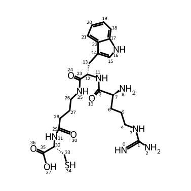 N=C(N)NCCC[C@H](N)C(=O)N[C@@H](Cc1c[nH]c2ccccc12)C(=O)NCCCC(=O)N[C@H](CS)C(=O)O